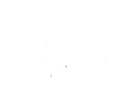 CCCN(CCC)C(=O)CC(C)(C)C(=O)N[C@@H](Cc1ccccc1)[C@H](O)CNCc1cccc(OC)c1